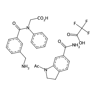 CC(=O)N1CCc2ccc(C(N)=O)cc21.NCc1cccc(C(=O)N(CC(=O)O)c2ccccc2)c1.O=C(O)C(F)(F)F